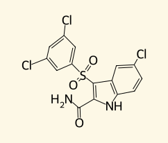 NC(=O)c1[nH]c2ccc(Cl)cc2c1S(=O)(=O)c1cc(Cl)cc(Cl)c1